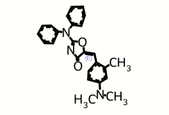 Cc1cc(N(C)C)ccc1/C=C1/OC(N(c2ccccc2)c2ccccc2)=NC1=O